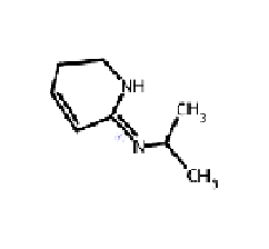 CC(C)/N=C1/C=CCCN1